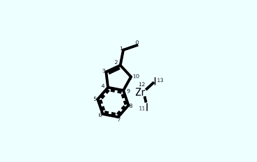 CCC1=Cc2ccccc2[CH]1.[I][Zr][I]